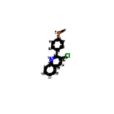 CSc1ccc(-c2nc3ccccc3cc2Cl)cc1